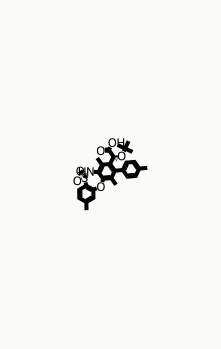 Cc1ccc(-c2c(C)c3c(c(C)c2[C@H](OC(C)(C)C)C(=O)O)NS(=O)(=O)c2ccc(C)cc2O3)cc1